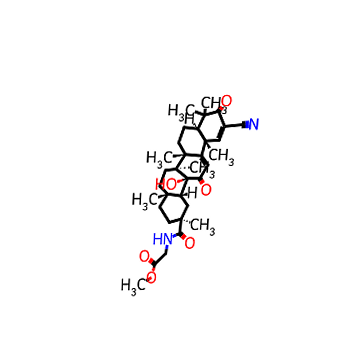 COC(=O)CNC(=O)[C@@]1(C)CC[C@]2(C)CC[C@@]3(C)[C@]4(C)CC[C@H]5C(C)(C)C(=O)C(C#N)=C[C@]5(C)C4=CC(=O)[C@]3(O)[C@@H]2C1